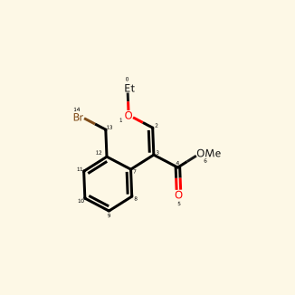 CCO/C=C(/C(=O)OC)c1ccccc1CBr